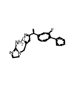 CC(c1ccc(-c2ccccc2)c(F)c1)c1cc(CN2CCN=C2N)on1